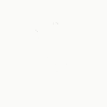 CC12C=CC=CC1Sc1cc(-c3cc(-c4ccccc4N)cc([C@@H]4CN4)c3)ccc12